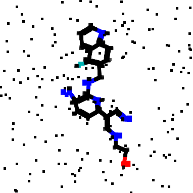 N=C/C(=C\NCCO)c1ccc(N)c(NCc2ccc3ncccc3c2F)n1